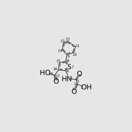 O=C(O)C(=O)Nc1sc(-c2ccccc2)cc1C(=O)O